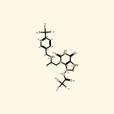 CC(Cn1c2c(c(=O)[nH]c1=S)NCN2OC(=O)C(F)(F)F)NCc1ccc(C(F)(F)F)nc1